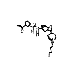 CCCCCN1CCC(c2coc3ccc(NC(=O)Nc4cccc(C(=O)CC)c4)cc23)CC1